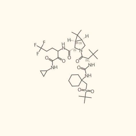 CC(C)(C)[C@H](NC(=O)NC1(CS(=O)(=O)C(C)(C)C)CCCCC1)C(=O)N1C[C@H]2[C@@H]([C@H]1C(=O)NC(CCC(F)(F)F)C(=O)C(=O)NC1CC1)C2(C)C